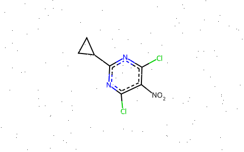 O=[N+]([O-])c1c(Cl)nc(C2CC2)nc1Cl